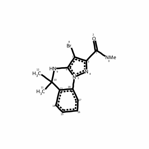 CNC(=O)c1nn2c(c1Br)NC(C)(C)c1ccccc1-2